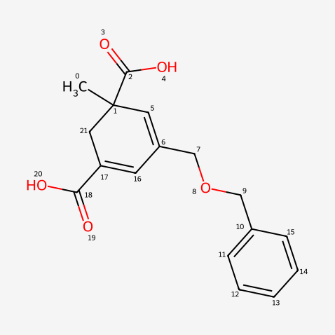 CC1(C(=O)O)C=C(COCc2ccccc2)C=C(C(=O)O)C1